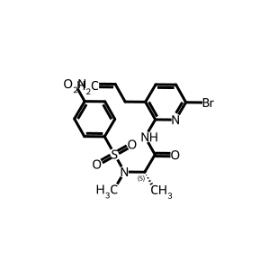 C=CCc1ccc(Br)nc1NC(=O)[C@H](C)N(C)S(=O)(=O)c1ccc([N+](=O)[O-])cc1